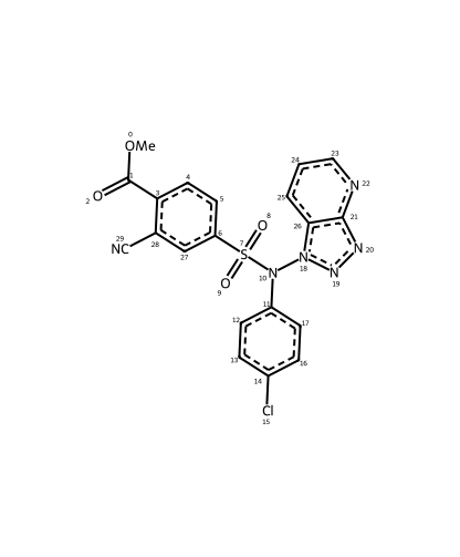 COC(=O)c1ccc(S(=O)(=O)N(c2ccc(Cl)cc2)n2nnc3ncccc32)cc1C#N